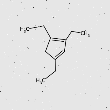 CCC1=CC(CC)=C(CC)C1